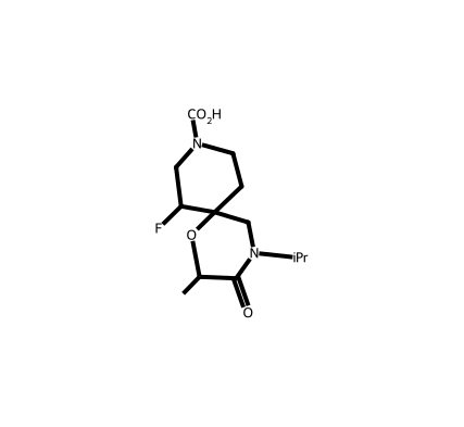 CC1OC2(CCN(C(=O)O)CC2F)CN(C(C)C)C1=O